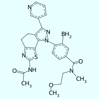 Bc1cc(C(=O)N(C)CCOC)ccc1-n1nc(-c2cccnc2)c2c1-c1sc(NC(C)=O)nc1CC2